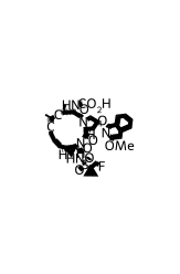 COc1cc2ccccc2c(O[C@@H]2C[C@H]3C(=O)N[C@]4(C(=O)NS(=O)(=O)C5(CF)CC5)C[C@H]4C=CCC[C@@H](C)C[C@@H](C)[C@H](NC(=O)O)C(=O)N3C2)n1